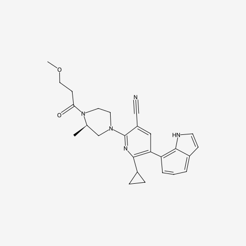 COCCC(=O)N1CCN(c2nc(C3CC3)c(-c3cccc4cc[nH]c34)cc2C#N)C[C@H]1C